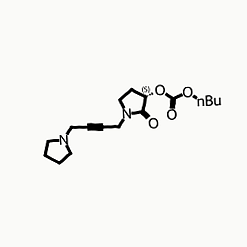 CCCCOC(=O)O[C@H]1CCN(CC#CCN2CCCC2)C1=O